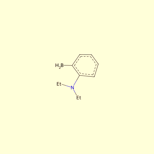 Bc1ccccc1N(CC)CC